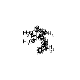 COCCN(CC1CC1C)c1cc(-c2nnc([C@](C)(N)Cc3ccccc3)o2)cc(N(C)S(=O)(=O)Cc2cc(C)no2)n1